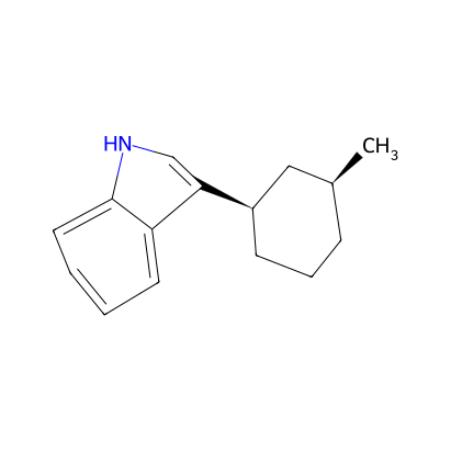 C[C@H]1CCC[C@@H](c2c[nH]c3ccccc23)C1